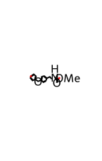 COC(=O)NCCc1ccc(Oc2ccccc2)cc1